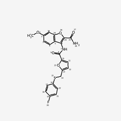 COc1ccc2c(NC(=O)c3ccc(CSc4ccc(F)cc4)o3)c(C(N)=O)oc2c1